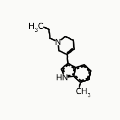 CCCN1CCC=C(c2c[nH]c3c(C)cccc23)C1